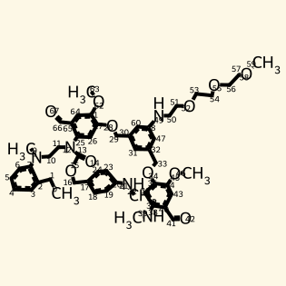 CCc1ccccc1N(C)CCN(C(=O)OCc1ccc(NC)cc1)c1cc(OCc2cc(COc3cc(NC)c(C=O)cc3OC)cc(NCCOCCOCCOC)c2)c(OC)cc1C=O